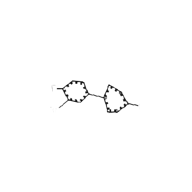 Fc1ccc(-c2ccc(F)c(Br)c2)cc1